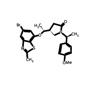 COc1ccc([C@H](C)N2C[C@H]([C@@H](C)Oc3cc(Br)cc4nc(C)sc34)CC2=O)cc1